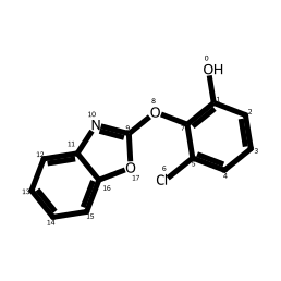 Oc1cccc(Cl)c1Oc1nc2ccccc2o1